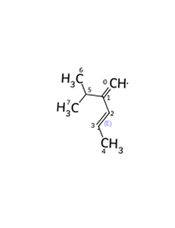 [CH]=C(/C=[C]/C)C(C)C